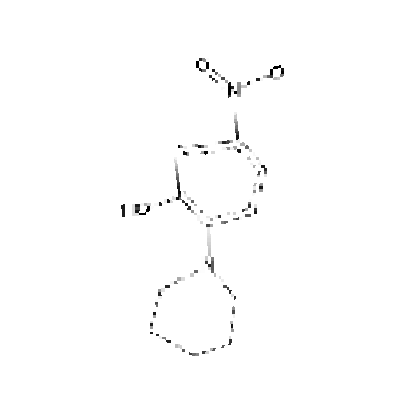 O=[N+]([O-])c1ccc(N2CCCCC2)c(O)c1